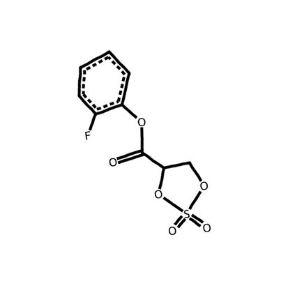 O=C(Oc1ccccc1F)C1COS(=O)(=O)O1